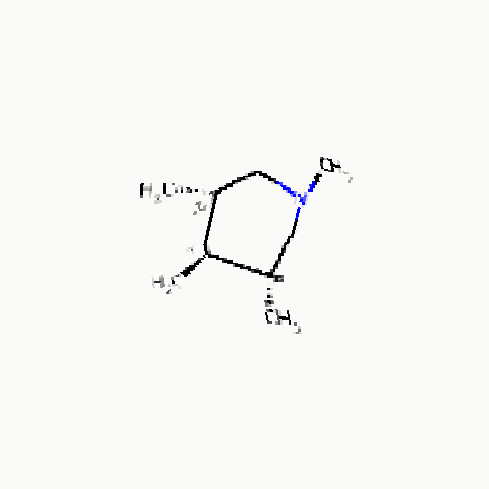 C[C@H]1[C@H](C)CN(C)C[C@@H]1C